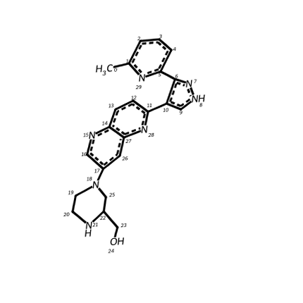 Cc1cccc(-c2n[nH]cc2-c2ccc3ncc(N4CCNC(CO)C4)cc3n2)n1